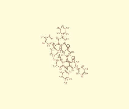 Cc1ccc(N2c3ccc(C)cc3B3c4cc5c(cc4Oc4cc(-c6ccccc6)cc2c43)Oc2cc(-c3ccccc3)cc3c2B5c2c(C)cccc2N3c2ccc(C)cc2)cc1